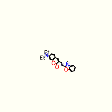 CCN(CC)c1ccc2cc(/C=C/C3Oc4ccccc4N3C)c(=O)oc2c1